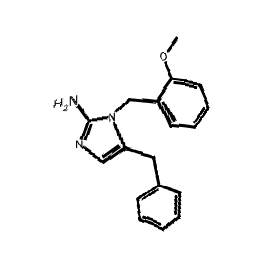 COc1ccccc1Cn1c(Cc2ccccc2)cnc1N